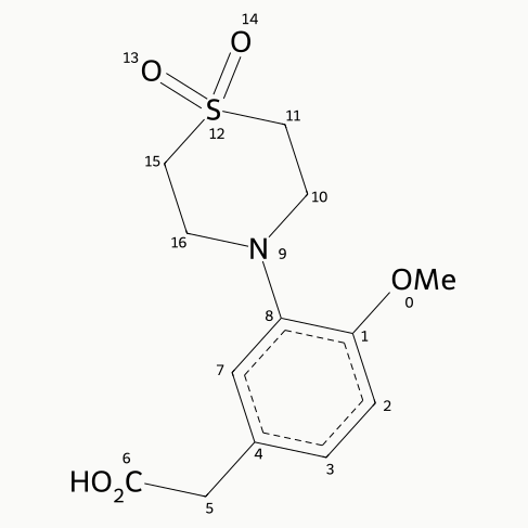 COc1ccc(CC(=O)O)cc1N1CCS(=O)(=O)CC1